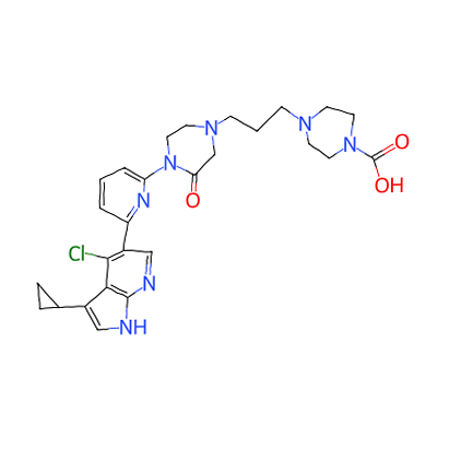 O=C(O)N1CCN(CCCN2CCN(c3cccc(-c4cnc5[nH]cc(C6CC6)c5c4Cl)n3)C(=O)C2)CC1